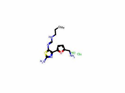 COCCNC=Nc1sc(N)nc1-c1ccc(CN)o1.Cl.Cl